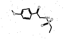 CCS(=O)(=O)NCC(=O)c1ccc(OC)cc1